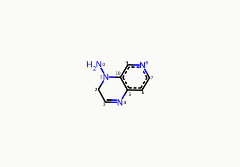 NN1CC=Nc2ccncc21